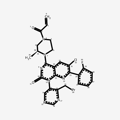 C=CC(=O)N1CCN(c2nc(=O)n(-c3cncnc3CC(C)C)c3nc(-c4ccccc4F)c(Cl)cc23)[C@@H](C)C1